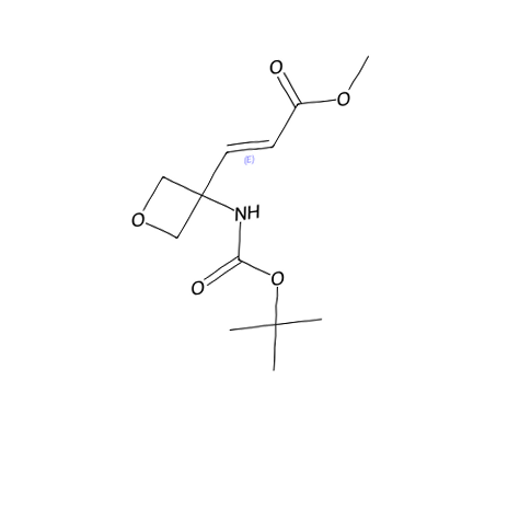 COC(=O)/C=C/C1(NC(=O)OC(C)(C)C)COC1